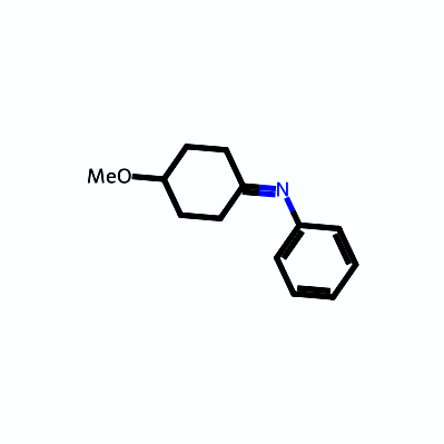 COC1CCC(=Nc2ccccc2)CC1